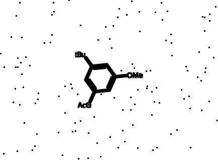 COc1cc(OC(C)=O)cc(C(C)(C)C)c1